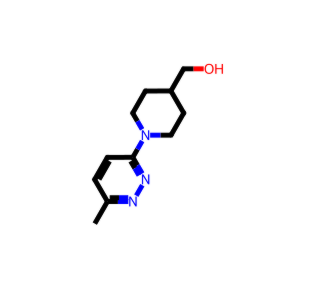 Cc1ccc(N2CCC(CO)CC2)nn1